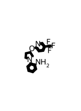 Nc1ccccc1N1CC[C@H](Oc2ccc(C(F)(F)F)cn2)C1